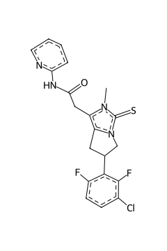 Cn1c(CC(=O)Nc2ccccn2)c2n(c1=S)CC(c1c(F)ccc(Cl)c1F)C2